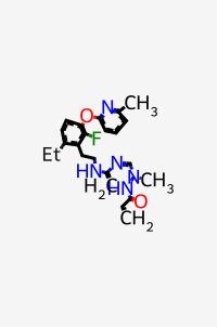 C=CC(=O)NN(C)/C=N\C(=C)NCCc1c(CC)ccc(Oc2cccc(C)n2)c1F